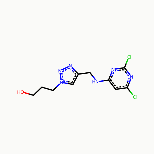 OCCCn1cc(CNc2cc(Cl)nc(Cl)n2)nn1